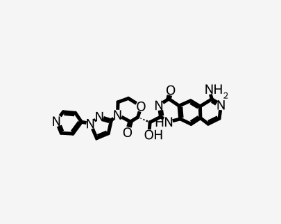 Nc1nccc2cc3[nH]c(C(O)[C@H]4OCCN(c5ccn(-c6ccncc6)n5)C4=O)nc(=O)c3cc12